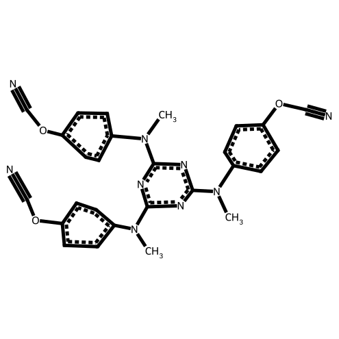 CN(c1ccc(OC#N)cc1)c1nc(N(C)c2ccc(OC#N)cc2)nc(N(C)c2ccc(OC#N)cc2)n1